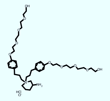 Cl.NC1CCC[N+](CCCc2ccc(OCCOCCOCCOCCO)cc2)(CCCc2ccc(OCCOCCOCCOCCO)cc2)C1.[Cl-]